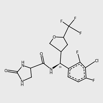 O=C1NCC(C(=O)N[C@H](c2ccc(F)c(Cl)c2F)C2COC(C(F)(F)F)C2)N1